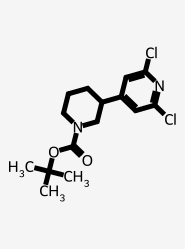 CC(C)(C)OC(=O)N1CCCC(c2cc(Cl)nc(Cl)c2)C1